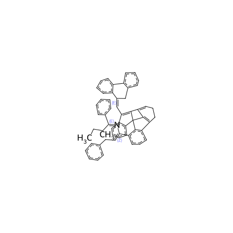 CCC(C)/C(=N\C(=C/Cc1ccccc1)c1cccc2c1C13C(=C(/C=C4\Cc5ccccc5-c5ccccc54)c4ccccc41)C1=CCCC2=C13)c1ccccc1